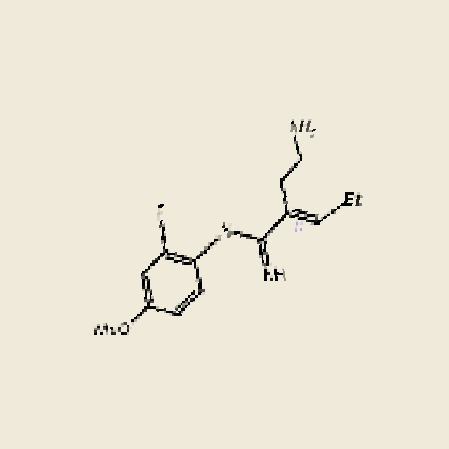 CC/C=C(\CCN)C(=N)Nc1ccc(OC)cc1F